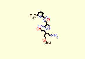 CC(C)(C)OCCC(CCN)c1cc(=O)[nH]c2c(-c3nc(-c4cccc(C(F)(F)F)n4)no3)cnn12